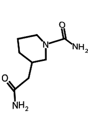 NC(=O)CC1CCCN(C(N)=O)C1